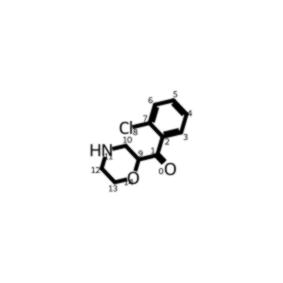 O=C(c1ccccc1Cl)C1CNCCO1